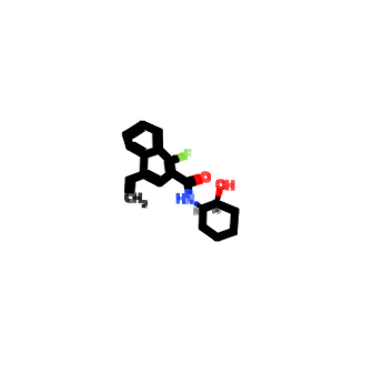 C=Cc1cc(C(=O)N[C@H]2CCCC[C@@H]2O)c(F)c2ccccc12